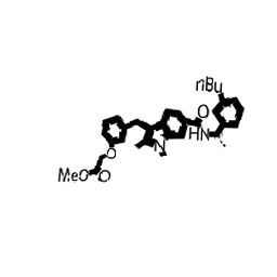 CCCCc1cccc([C@H](C)NC(=O)c2ccc3c(Cc4cccc(OCC(=O)OC)c4)c(C)n(C)c3c2)c1